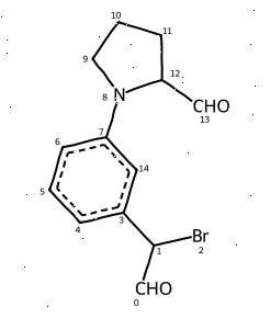 O=CC(Br)c1cccc(N2CCCC2C=O)c1